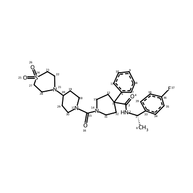 C[C@H](NC(=O)C1(c2ccccc2)CCN(C(=O)N2CCC(N3CCS(=O)(=O)CC3)CC2)CC1)c1ccc(F)cc1